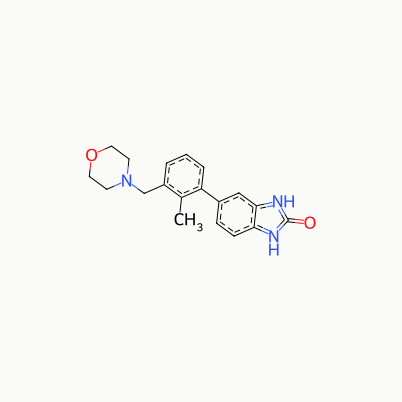 Cc1c(CN2CCOCC2)cccc1-c1ccc2[nH]c(=O)[nH]c2c1